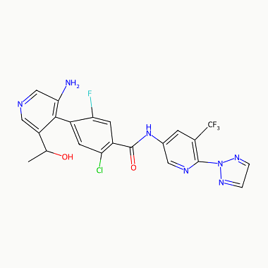 CC(O)c1cncc(N)c1-c1cc(Cl)c(C(=O)Nc2cnc(-n3nccn3)c(C(F)(F)F)c2)cc1F